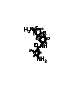 Cn1cc(N)cc1C(=O)Nc1ccc(F)c(C2(C)CCSC(N)=N2)c1